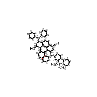 CC1(C)c2ccccc2-c2ccc(N(c3ccccc3)c3cc(O)c4ccc5c(N(c6ccccc6)c6ccccn6)cc(O)c6c7ccccc7c3c4c56)cc21